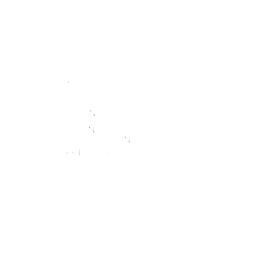 Cc1cc(O)n(-c2nc(-c3ccccc3)cs2)n1